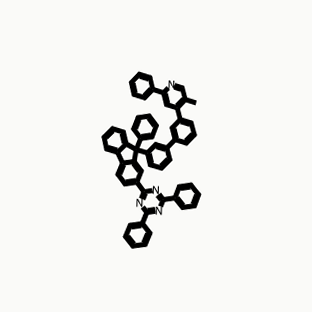 Cc1cnc(-c2ccccc2)cc1-c1cccc(-c2cccc(C3(c4ccccc4)c4ccccc4-c4ccc(-c5nc(-c6ccccc6)nc(-c6ccccc6)n5)cc43)c2)c1